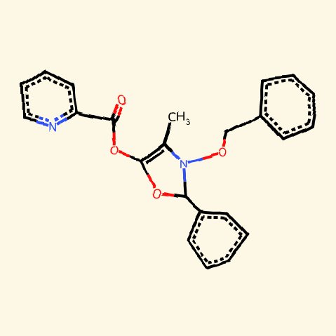 CC1=C(OC(=O)c2ccccn2)OC(c2ccccc2)N1OCc1ccccc1